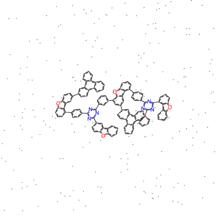 c1ccc(-c2nc(-c3ccc(-c4cccc5oc6c(-c7cccc(-c8nc(-c9ccc(-c%10cccc%11oc%12ccc(-c%13ccc%14c%15ccccc%15c%15ccccc%15c%14c%13)cc%12c%10%11)cc9)nc(-c9ccc%10oc%11ccccc%11c%10c9)n8)c7)cc(-c7ccc8c9ccccc9c9ccccc9c8c7)cc6c45)cc3)nc(-c3cccc4oc5ccccc5c34)n2)cc1